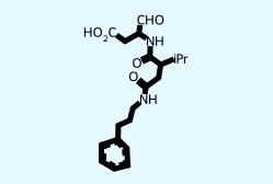 CC(C)C(CC(=O)NCCCc1ccccc1)C(=O)NC(C=O)CC(=O)O